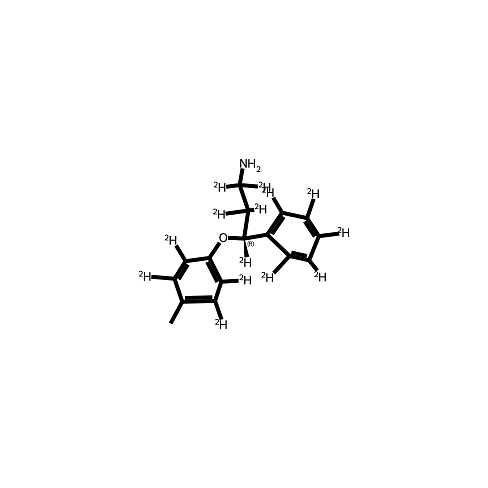 [2H]c1c([2H])c([2H])c([C@]([2H])(Oc2c([2H])c([2H])c(C)c([2H])c2[2H])C([2H])([2H])C([2H])([2H])N)c([2H])c1[2H]